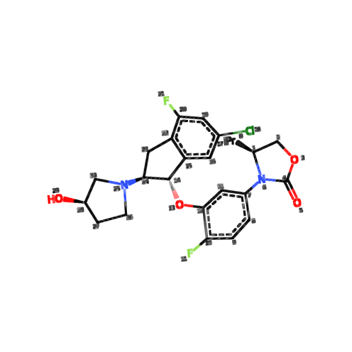 CC(C)[C@H]1COC(=O)N1c1ccc(F)c(O[C@H]2c3cc(Cl)cc(F)c3C[C@@H]2N2CC[C@@H](O)C2)c1